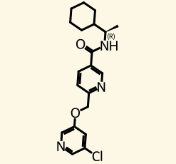 C[C@@H](NC(=O)c1ccc(COc2cncc(Cl)c2)nc1)C1CCCCC1